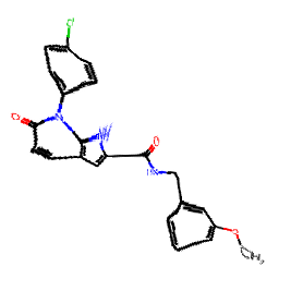 COc1cccc(CNC(=O)c2cc3ccc(=O)n(-c4ccc(Cl)cc4)c3[nH]2)c1